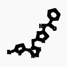 O=C(Nc1cnc(Sc2nnnn2-c2ccc(Br)s2)s1)c1ccccc1